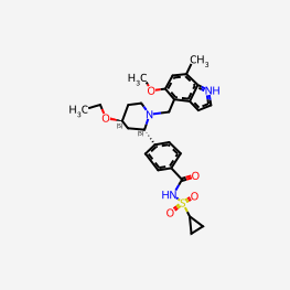 CCO[C@H]1CCN(Cc2c(OC)cc(C)c3[nH]ccc23)[C@H](c2ccc(C(=O)NS(=O)(=O)C3CC3)cc2)C1